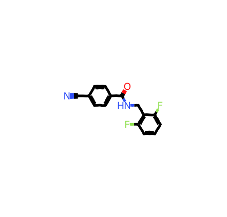 N#Cc1ccc(C(=O)NCc2c(F)cccc2F)cc1